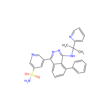 CC(C)(Nc1nnc(-c2cncc(S(N)(=O)=O)c2)c2cccc(-c3ccccc3)c12)c1ccccn1